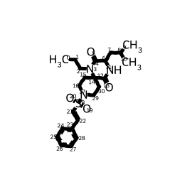 CCCN1C(=O)C(CC(C)C)NC(=O)C12CCN(S(=O)(=O)C=Cc1ccccc1)CC2